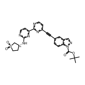 CC(C)(C)OC(=O)n1ncc2cc(C#Cc3ccnc(-c4ccnc(N[C@@H]5CCS(=O)(=O)C5)n4)n3)ccc21